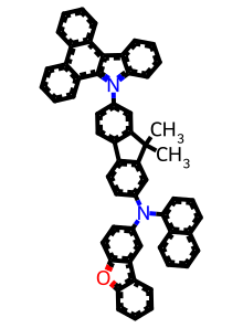 CC1(C)c2cc(N(c3ccc4oc5ccccc5c4c3)c3cccc4ccccc34)ccc2-c2ccc(-n3c4ccccc4c4c5ccccc5c5ccccc5c43)cc21